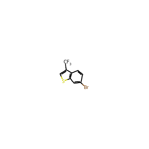 FC(F)(F)c1csc2cc(Br)ccc12